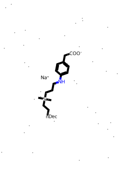 CCCCCCCCCCCC[Si](C)(C)CCCNc1ccc(CC(=O)[O-])cc1.[Na+]